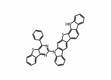 c1ccc(-c2nc(-n3c4ccccc4c4cc5c(cc43)sc3c5ccc4c5ccccc5[nH]c43)nc3c2sc2ccccc23)cc1